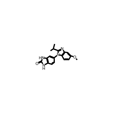 COc1ccc2c(c1)nc(C(C)C)n2-c1ccc2[nH]c(=O)[nH]c2c1